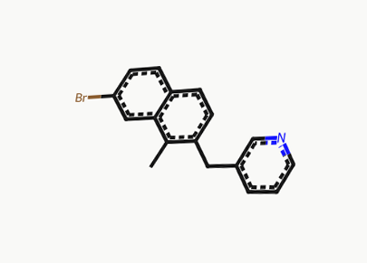 Cc1c(Cc2cccnc2)ccc2ccc(Br)cc12